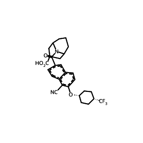 N#Cc1c(O[C@H]2CC[C@@H](C(F)(F)F)CC2)ccc2cc(C(=O)N3C4CCCC3CC(C(=O)O)C4)ccc12